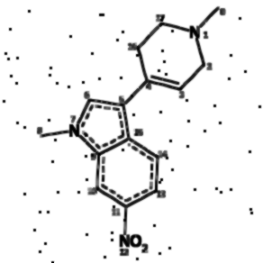 CN1CC=C(c2cn(C)c3cc([N+](=O)[O-])ccc23)CC1